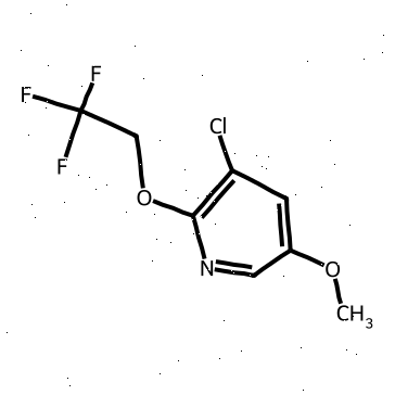 COc1cnc(OCC(F)(F)F)c(Cl)c1